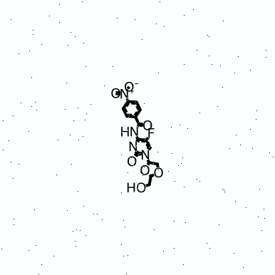 O=C(Nc1nc(=O)n(C2COC(CO)O2)cc1F)c1ccc([N+](=O)[O-])cc1